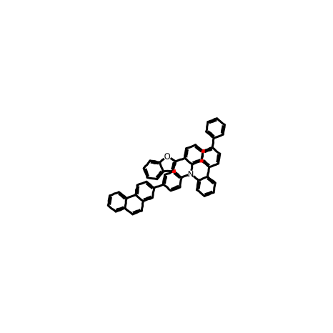 c1ccc(-c2ccc(-c3ccccc3N(c3ccc(-c4ccc5c(ccc6ccccc65)c4)cc3)c3ccccc3-c3cc4ccccc4o3)cc2)cc1